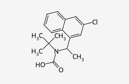 CC(c1cc(Cl)cc2ccccc12)N(C(=O)O)C(C)(C)C